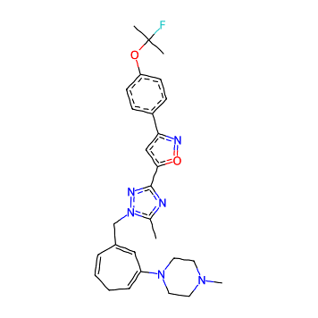 Cc1nc(-c2cc(-c3ccc(OC(C)(C)F)cc3)no2)nn1CC1=CC(N2CCN(C)CC2)=CCC=C1